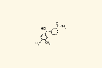 Cc1ccc(CN2CCCC(C(N)=O)C2)cc1C.Cl